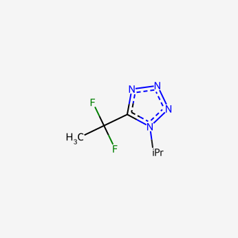 CC(C)n1nnnc1C(C)(F)F